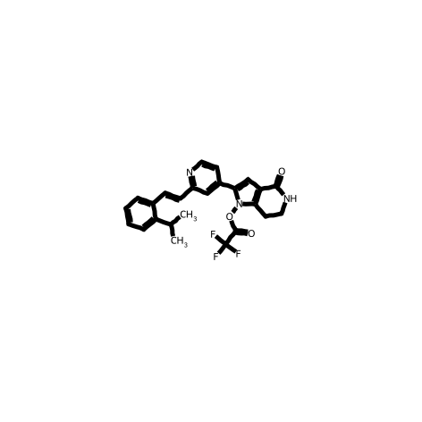 CC(C)c1ccccc1C=Cc1cc(-c2cc3c(n2OC(=O)C(F)(F)F)CCNC3=O)ccn1